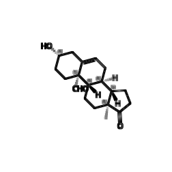 C[C@]12CC[C@H]3[C@@H](CC=C4C[C@@H](O)CC[C@@]43C=O)[C@@H]1CCC2=O